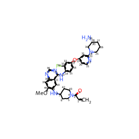 C=CC(=O)N1CCC(Nc2cc3c(Nc4ccc(Oc5ccnc(N6CCC[C@@H](N)C6)c5)cc4F)ncnc3cc2OC)CC1